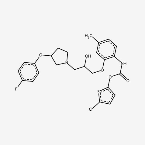 Cc1ccc(NC(=O)Oc2ccc(Cl)s2)c(OCC(O)CN2CCC(Oc3ccc(F)cc3)C2)c1